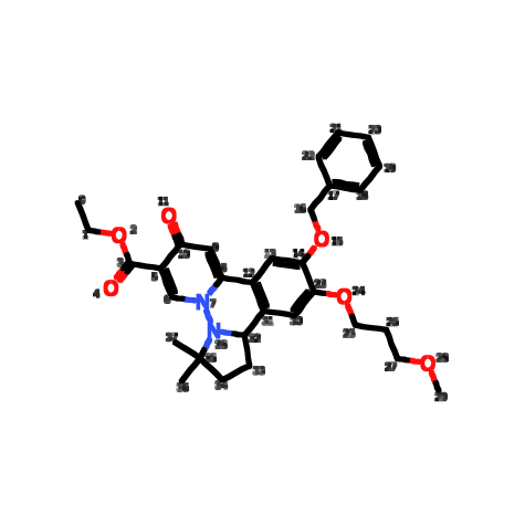 CCOC(=O)c1cn2c(cc1=O)-c1cc(OCc3ccccc3)c(OCCCOC)cc1C1CCC(C)(C)N12